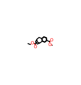 CCOC(=O)C1C2CCC1c1cc(C(=O)OC)ccc1C2